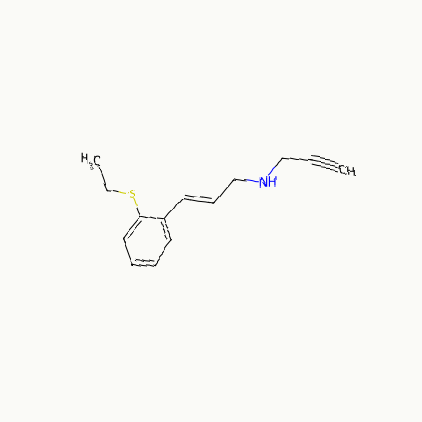 C#CCNC/C=C/c1ccccc1SCC